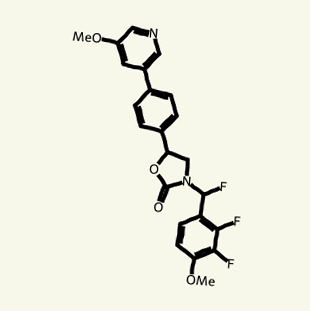 COc1cncc(-c2ccc(C3CN(C(F)c4ccc(OC)c(F)c4F)C(=O)O3)cc2)c1